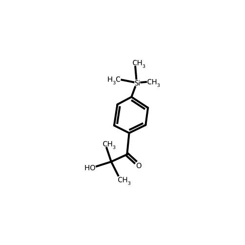 CC(C)(O)C(=O)c1ccc([Si](C)(C)C)cc1